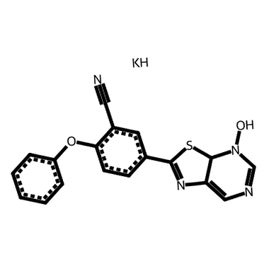 N#Cc1cc(C2=NC3=CN=CN(O)C3S2)ccc1Oc1ccccc1.[KH]